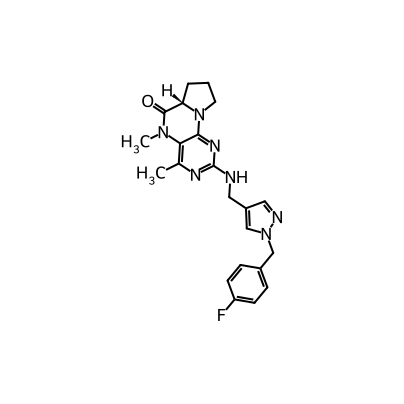 Cc1nc(NCc2cnn(Cc3ccc(F)cc3)c2)nc2c1N(C)C(=O)[C@@H]1CCCN21